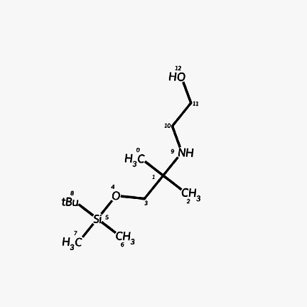 CC(C)(CO[Si](C)(C)C(C)(C)C)NCCO